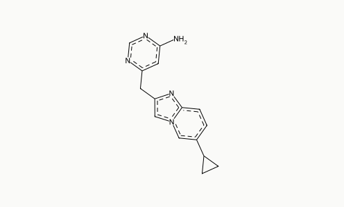 Nc1cc(Cc2cn3cc(C4CC4)ccc3n2)ncn1